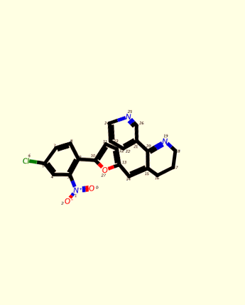 O=[N+]([O-])c1cc(Cl)ccc1-c1ccc(/C=C2/CCCN=C2c2cccnc2)o1